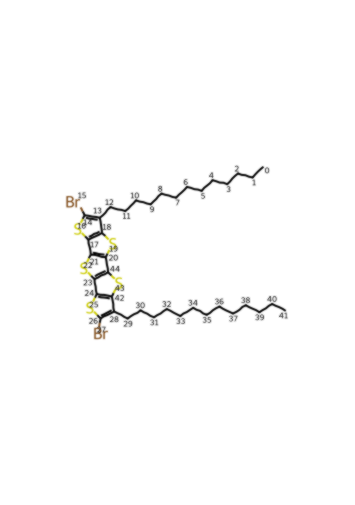 CCCCCCCCCCCCCc1c(Br)sc2c1sc1c2sc2c3sc(Br)c(CCCCCCCCCCCCC)c3sc21